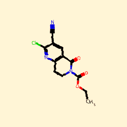 CCOC(=O)N1CCc2nc(Cl)c(C#N)cc2C1=O